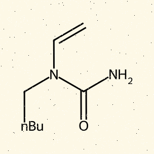 C=CN(CCCCC)C(N)=O